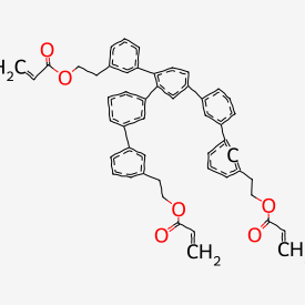 C=CC(=O)OCCc1cccc(-c2cccc(-c3ccc(-c4cccc(CCOC(=O)C=C)c4)c(-c4cccc(-c5cccc(CCOC(=O)C=C)c5)c4)c3)c2)c1